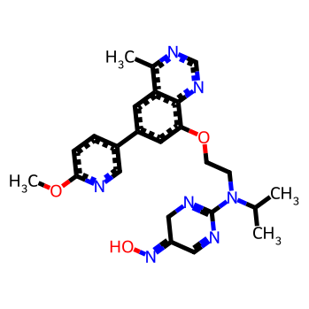 COc1ccc(-c2cc(OCCN(C3=NCC(=NO)C=N3)C(C)C)c3ncnc(C)c3c2)cn1